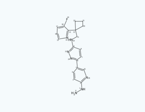 NNc1ccc(-c2ccc(NCC3(c4ncccc4F)CCC3)nn2)cn1